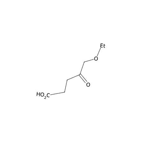 CCOCC(=O)CCC(=O)O